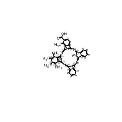 Cc1c(C(=O)O)ccc2c1-c1nc-2nc2[nH]c(nc3nc(nc4[nH]c(n1)c1c(C)c(C)c(C)c(N)c41)-c1ccccc1-3)c1ccccc21